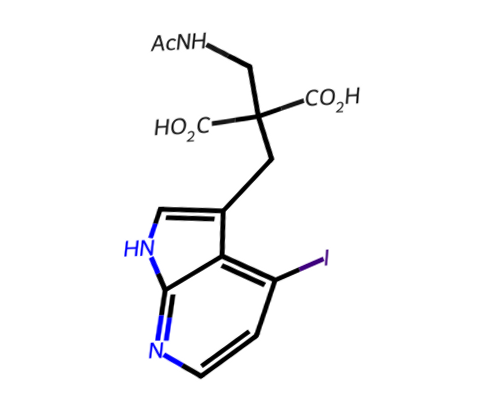 CC(=O)NCC(Cc1c[nH]c2nccc(I)c12)(C(=O)O)C(=O)O